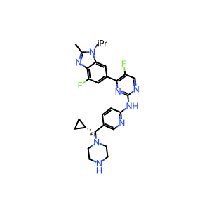 Cc1nc2c(F)cc(-c3nc(Nc4ccc([C@@H](C5CC5)N5CCNCC5)cn4)ncc3F)cc2n1C(C)C